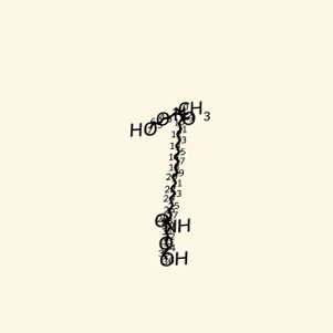 CN(CCOCCO)C(=O)CCCCCCCCCCCCCCCCCCC(=O)NCCOCCO